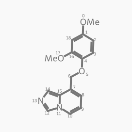 COc1ccc(OCc2cccn3cncc23)c(OC)c1